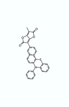 CC1=C2OC(=O)C(c3ccc4c5c(ccc4c3)N(c3ccccc3)c3ccccc3S5)=C2OC1=O